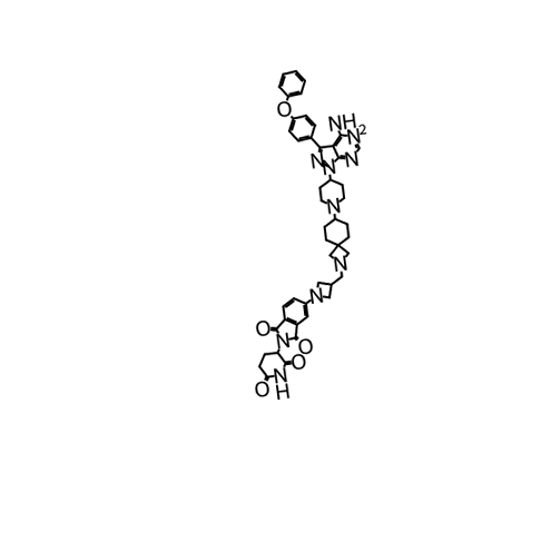 Nc1ncnc2c1c(-c1ccc(Oc3ccccc3)cc1)nn2C1CCN(C2CCC3(CC2)CN(CC2CN(c4ccc5c(c4)C(=O)N(C4CCC(=O)NC4=O)C5=O)C2)C3)CC1